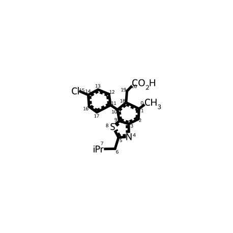 Cc1cc2nc(CC(C)C)sc2c(-c2ccc(Cl)cc2)c1CC(=O)O